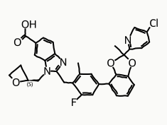 Cc1cc(-c2cccc3c2OC(C)(c2ccc(Cl)cn2)O3)cc(F)c1Cc1nc2ccc(C(=O)O)cc2n1C[C@@H]1CCO1